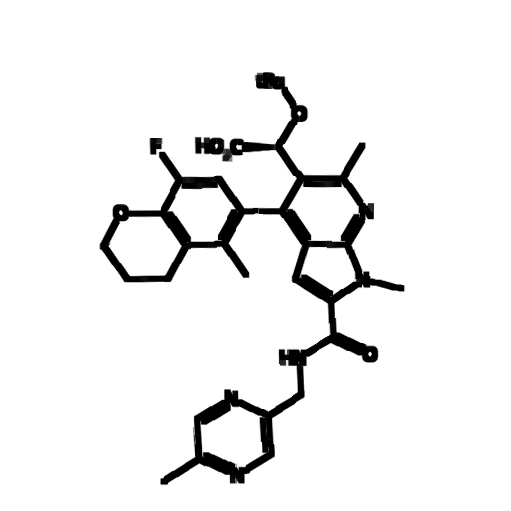 Cc1cnc(CNC(=O)c2cc3c(-c4cc(F)c5c(c4C)CCCO5)c([C@H](OC(C)(C)C)C(=O)O)c(C)nc3n2C)cn1